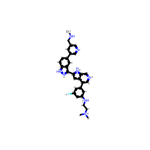 CCNCc1cncc(-c2ccc3[nH]nc(-c4cc5c(-c6cc(F)cc(NCCN(C)C)c6)cncc5[nH]4)c3c2)c1